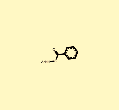 CC(=O)NSC(=O)c1ccccc1